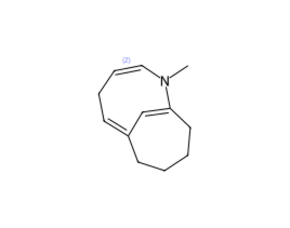 CN1/C=C\CC=C2C=C1CCCC2